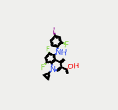 C=C(O)C1=CN(C2CC2)c2c(F)cc(F)c(Nc3ccc(I)cc3F)c2C1=C